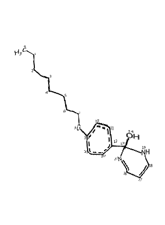 CCCCCCCCOc1ccc(C2(O)N=CC=CN2)cc1